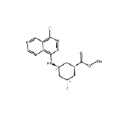 CC(C)(C)OC(=O)N1C[C@H](F)C[C@@H](Nc2nnc(Cl)c3cnccc23)C1